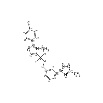 CC(CN)(CCc1cccc(-c2noc(C(F)(F)F)n2)c1)c1coc(-c2ccc(F)cc2)n1